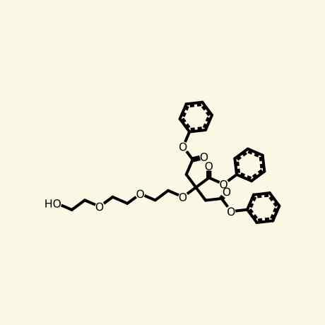 O=C(CC(CC(=O)Oc1ccccc1)(OCCOCCOCCO)C(=O)Oc1ccccc1)Oc1ccccc1